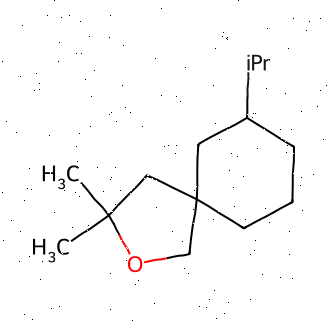 CC(C)C1CCCC2(COC(C)(C)C2)C1